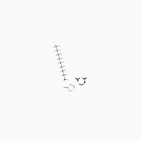 CC1[C@@H](CO)O[C@@H](n2ccc(=O)[nH]c2=O)[C@H]1OC(=O)C(F)(F)C(F)(F)C(F)(F)C(F)(F)C(F)(F)C(F)(F)C(F)(F)C(F)(F)F